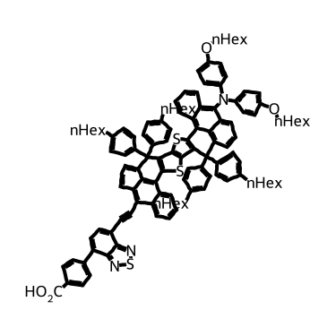 CCCCCCOc1ccc(N(c2ccc(OCCCCCC)cc2)c2c3ccccc3c3c4c(cccc24)C(c2ccc(CCCCCC)cc2)(c2ccc(CCCCCC)cc2)c2c-3sc3c4c(sc23)-c2c3ccccc3c(C#Cc3ccc(-c5ccc(C(=O)O)cc5)c5nsnc35)c3cccc(c23)C4(c2ccc(CCCCCC)cc2)c2ccc(CCCCCC)cc2)cc1